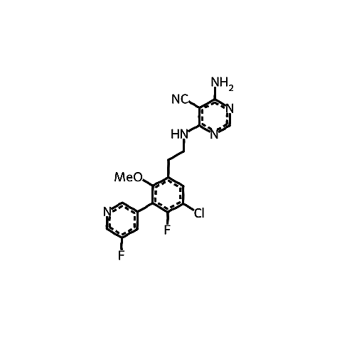 COc1c(CCNc2ncnc(N)c2C#N)cc(Cl)c(F)c1-c1cncc(F)c1